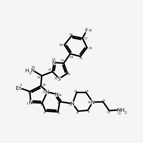 CCc1nc2ccc(N3CCN(CCN)CC3)nn2c1C(N)c1nc(-c2ccc(F)cc2)cs1